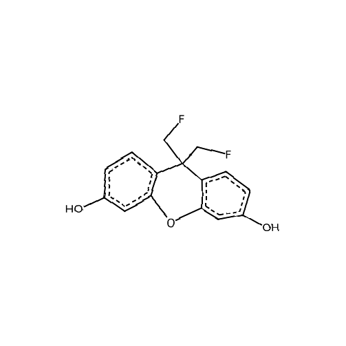 Oc1ccc2c(c1)Oc1cc(O)ccc1C2(CF)CF